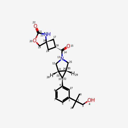 CC(C)(CO)c1cccc([C@H]2[C@@H]3CN(C(=O)[C@H]4C[C@]5(COC(=O)N5)C4)C[C@@H]32)c1